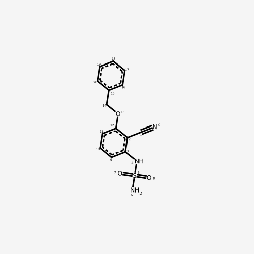 N#Cc1c(NS(N)(=O)=O)cccc1OCc1ccccc1